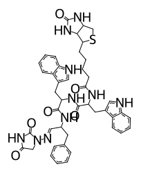 O=C1CN(/N=C/C(Cc2ccccc2)NC(=O)C(Cc2c[nH]c3ccccc23)NC(=O)C(Cc2c[nH]c3ccccc23)NC(=O)CCCCC2SCC3NC(=O)NC32)C(=O)N1